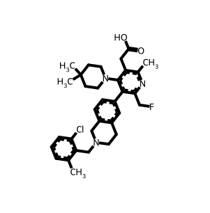 Cc1cccc(Cl)c1CN1CCc2cc(-c3c(CF)nc(C)c(CC(=O)O)c3N3CCC(C)(C)CC3)ccc2C1